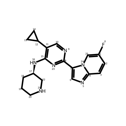 Fc1ccc2ncc(-c3ncc(C4CC4)c(N[C@@H]4CCCNC4)n3)n2c1